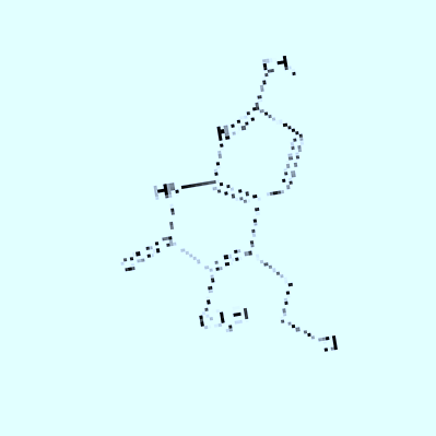 CCOC(=O)c1c(CCCl)c2ccc(C)nc2[nH]c1=O